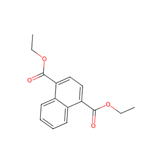 CCOC(=O)c1ccc(C(=O)OCC)c2ccccc12